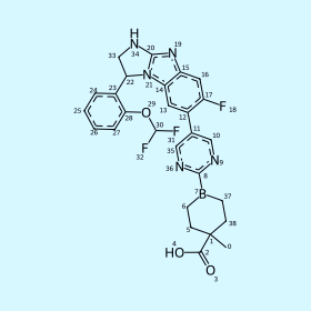 CC1(C(=O)O)CCB(c2ncc(-c3cc4c(cc3F)nc3n4C(c4ccccc4OC(F)F)CN3)cn2)CC1